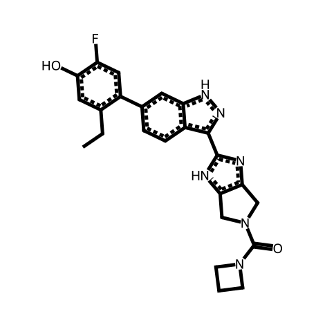 CCc1cc(O)c(F)cc1-c1ccc2c(-c3nc4c([nH]3)CN(C(=O)N3CCC3)C4)n[nH]c2c1